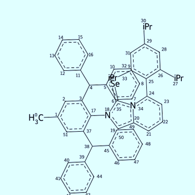 Cc1cc(C(c2ccccc2)c2ccccc2)c(-n2cc3cccc(-c4c(C(C)C)cc(C(C)C)cc4C(C)C)n3c2=[Se])c(C(c2ccccc2)c2ccccc2)c1